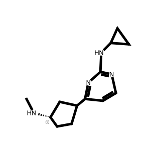 CN[C@H]1CCC(c2ccnc(NC3CC3)n2)C1